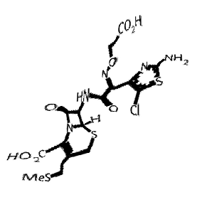 CSCC1=C(C(=O)O)N2C(=O)C(NC(=O)C(=NOCC(=O)O)c3nc(N)sc3Cl)[C@@H]2SC1